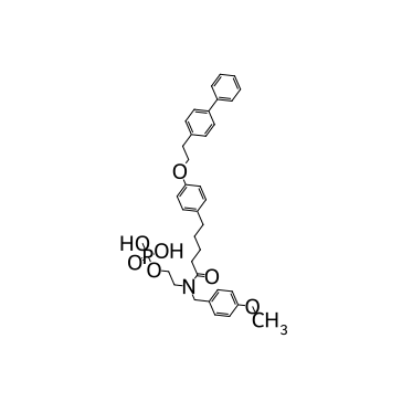 COc1ccc(CN(CCOP(=O)(O)O)C(=O)CCCCc2ccc(OCCc3ccc(-c4ccccc4)cc3)cc2)cc1